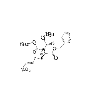 CC(C)(C)OC(=O)N(C(=O)OC(C)(C)C)[C@H](CCC=C[N+](=O)[O-])C(=O)OCc1ccccc1